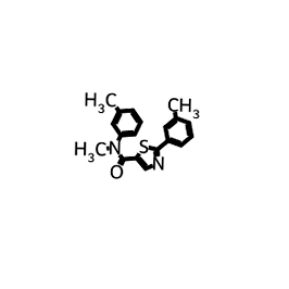 Cc1cccc(-c2ncc(C(=O)N(C)c3cccc(C)c3)s2)c1